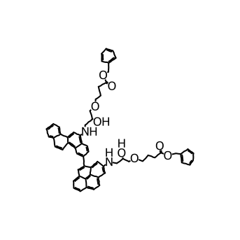 O=C(CCCOCC(O)CNc1cc2ccc3cccc4cc(-c5ccc6c(NCC(O)COCCCC(=O)OCc7ccccc7)cc7c8ccccc8ccc7c6c5)c(c1)c2c34)OCc1ccccc1